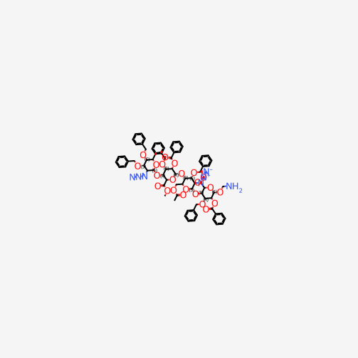 CCC1O[C@@H](O[C@H]2C(C(=O)OC)O[C@@H](O[C@H]3C(COC(C)=O)O[C@@H](O[C@H]4C(C(=O)OC)O[C@@H](OCN)C(OC(=O)c5ccccc5)[C@@H]4OCc4ccccc4)C(N=[N+]=[N-])[C@@H]3OCc3ccccc3)C(OC(=O)c3ccccc3)[C@@H]2OCc2ccccc2)C(N=[N+]=[N-])[C@H](OCc2ccccc2)[C@H]1OCc1ccccc1